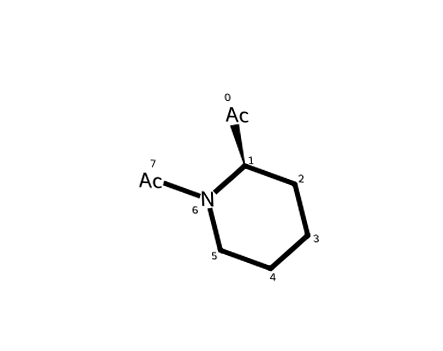 CC(=O)[C@H]1CCCCN1C(C)=O